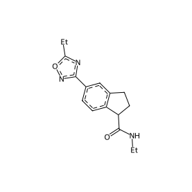 CCNC(=O)C1CCc2cc(-c3noc(CC)n3)ccc21